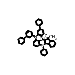 CC1(C)C2=C(c3ccccc31)N(c1ccccc1)c1cccc3c1B2c1ccc(-c2ccccc2)cc1N3c1cc#cc(-c2ccccc2)c1